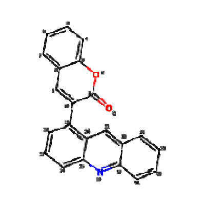 O=c1oc2ccccc2cc1-c1cccc2nc3ccccc3[c]c12